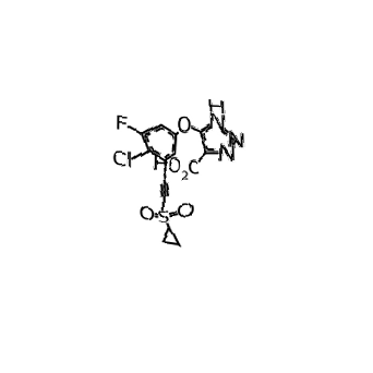 O=C(O)c1nn[nH]c1Oc1cc(F)c(Cl)c(C#CS(=O)(=O)C2CC2)c1